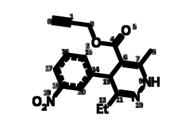 C#CCOC(=O)C1=C(C)NN=C(CC)C1c1cccc([N+](=O)[O-])c1